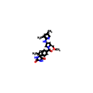 COC[C@@H]1C[C@H](Nc2ncc(C)cc2C)CN1C(=O)c1ccc([C@@]2(C(C)C)NC(=O)NC2=O)cc1